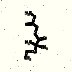 CCOC(C)(C)C(=O)CCC(=O)OC